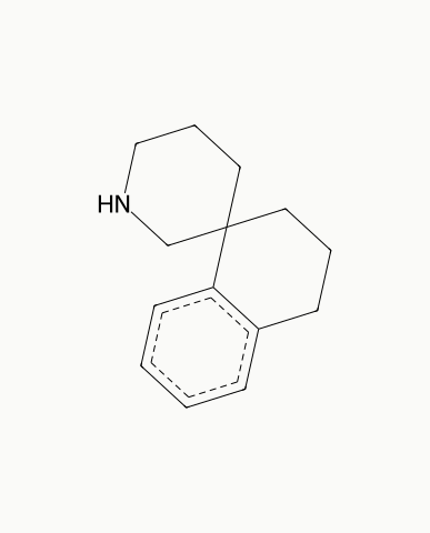 c1ccc2c(c1)CCCC21CCCNC1